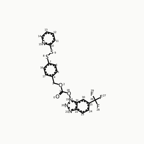 O=C(OCc1ccc(SSc2ccccn2)cc1)On1nnc2ccc(C(F)(F)F)cc21